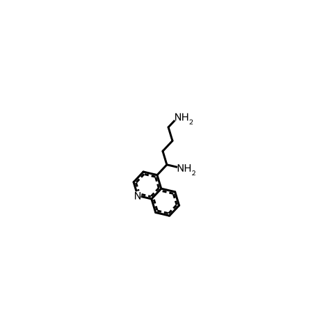 NCCCC(N)c1ccnc2ccccc12